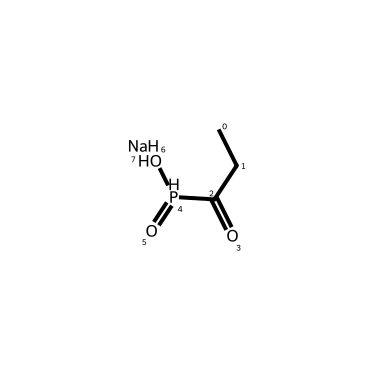 CCC(=O)[PH](=O)O.[NaH]